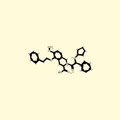 COc1ccc2c(c1OCCc1ccccc1)CC(C(=O)O)N(C(=O)C(OC1CCCC1)c1ccccc1)C2